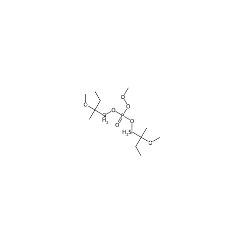 CCC(C)(OC)[SiH2]OP(=O)(OOC)O[SiH2]C(C)(CC)OC